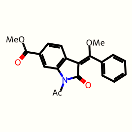 COC(=O)c1ccc2c(c1)N(C(C)=O)C(=O)/C2=C(/OC)c1ccccc1